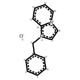 [Cl-].c1ccc(Cn2cc[n+]3ccccc23)cc1